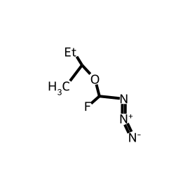 CCC(C)OC(F)N=[N+]=[N-]